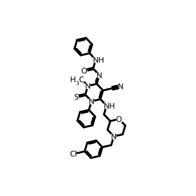 Cn1c(=NC(=O)Nc2ccccc2)c(C#N)c(NCC2CN(Cc3ccc(Cl)cc3)CCO2)n(-c2ccccc2)c1=S